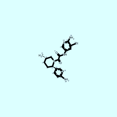 CCc1cc(NC(=O)C(=O)N2C[C@@H](C)CC[C@@H]2c2ccc(N)nc2)cnc1N